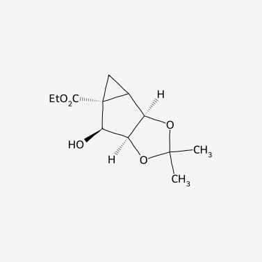 CCOC(=O)[C@]12CC1[C@H]1OC(C)(C)O[C@H]1[C@H]2O